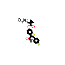 CC(C)C(=O)c1c(-c2ccc(F)cc2)sc2cc(OC(=O)C3(CO[N+](=O)[O-])CC3)ccc12